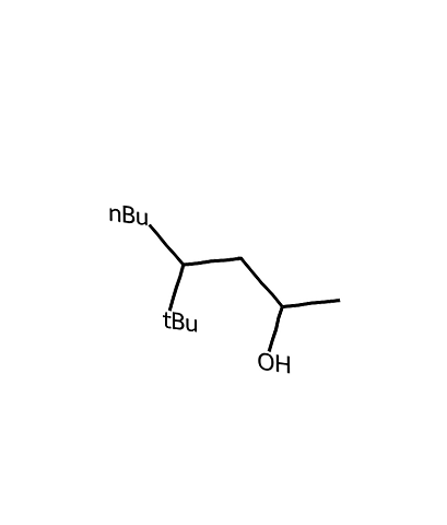 CCCCC(CC(C)O)C(C)(C)C